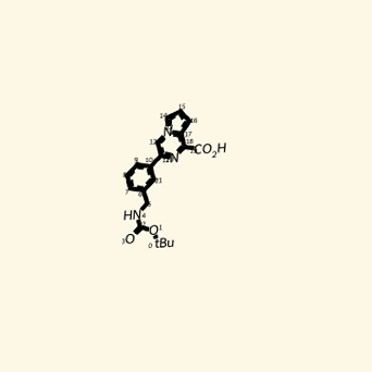 CC(C)(C)OC(=O)NCc1cccc(-c2cn3cccc3c(C(=O)O)n2)c1